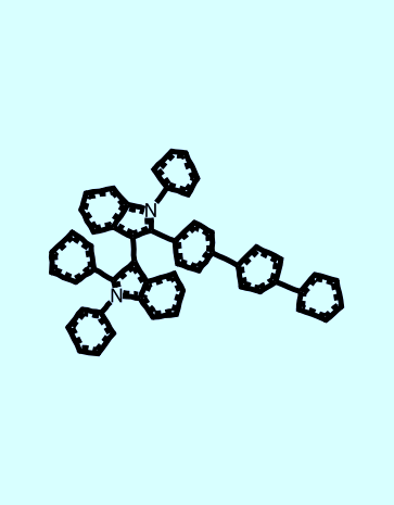 c1ccc(-c2ccc(-c3ccc(-c4c(-c5c(-c6ccccc6)n(-c6ccccc6)c6ccccc56)c5ccccc5n4-c4ccccc4)cc3)cc2)cc1